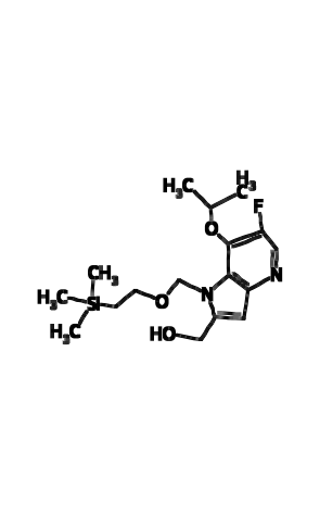 CC(C)Oc1c(F)cnc2cc(CO)n(COCC[Si](C)(C)C)c12